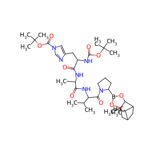 CC(NC(=O)C(Cc1cn(C(=O)OC(C)(C)C)cn1)NC(=O)OC(C)(C)C)C(=O)NC(C(=O)N1CCCC1B1OC2C3CC(C[C@]2(C)O1)C3(C)C)C(C)C